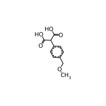 COCc1ccc(C(C(=O)O)C(=O)O)cc1